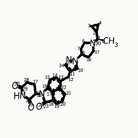 C[C@H](C1CC1)N1CCC(n2cc(Cc3ccc4c5c(cccc35)C(=O)N4C3CCC(=O)NC3=O)cn2)CC1